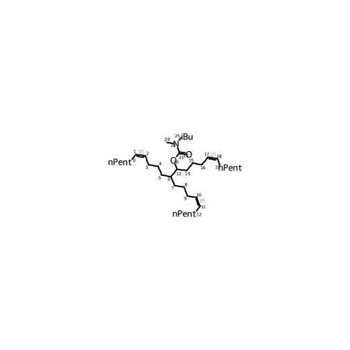 CCCCC/C=C\CCCC(CCC/C=C\CCCCC)C(CCC/C=C\CCCCC)OC(=O)N(C)C(C)CC